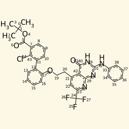 CC(C)(C)OC(=O)c1cccc(-c2ccccc2OCCc2cc(C(F)(F)F)nc3nc(Nc4ccccc4)[nH]c(=O)c23)c1Cl